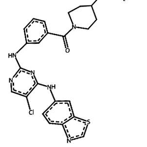 NCC1CCN(C(=O)c2cccc(Nc3ncc(Cl)c(Nc4ccc5ncsc5c4)n3)c2)CC1